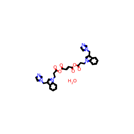 O.O=C(/C=C/C(=O)OC(=O)CCn1cc(Cn2ccnc2)c2ccccc21)OC(=O)CCn1cc(Cn2ccnc2)c2ccccc21